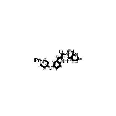 CC(C)N1CCC(Oc2ccc3[nH]c(C(=O)N(C)Cc4cccnc4)cc3c2)CC1